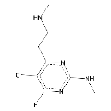 CNCCc1nc(NC)nc(F)c1Cl